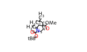 C=C(C)CC1(C(=O)OC)CCN(C(=O)OC(C)(C)C)[C@H](C)C1